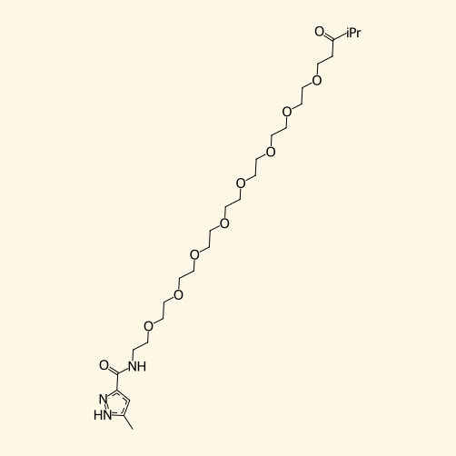 Cc1cc(C(=O)NCCOCCOCCOCCOCCOCCOCCOCCOCCC(=O)C(C)C)n[nH]1